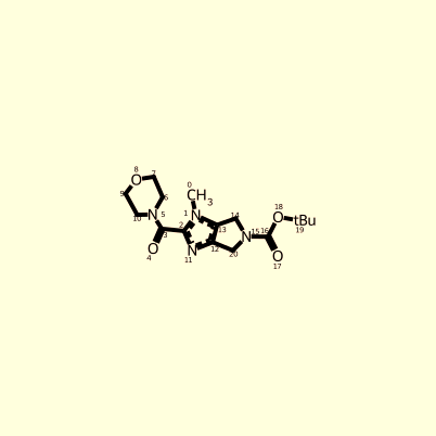 Cn1c(C(=O)N2CCOCC2)nc2c1CN(C(=O)OC(C)(C)C)C2